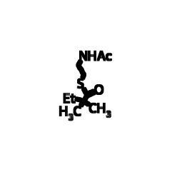 CCC(C)(C)C(=O)SCCNC(C)=O